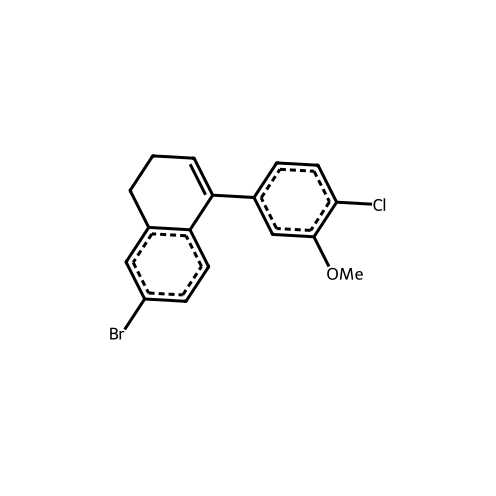 COc1cc(C2=CCCc3cc(Br)ccc32)ccc1Cl